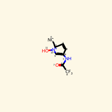 N#Cc1ccc(NC(=O)C(F)(F)F)c[n+]1O